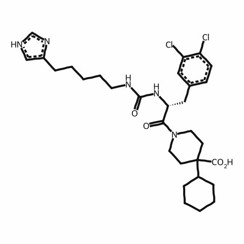 O=C(NCCCCCc1c[nH]cn1)N[C@H](Cc1ccc(Cl)c(Cl)c1)C(=O)N1CCC(C(=O)O)(C2CCCCC2)CC1